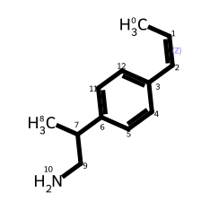 C/C=C\c1ccc(C(C)CN)cc1